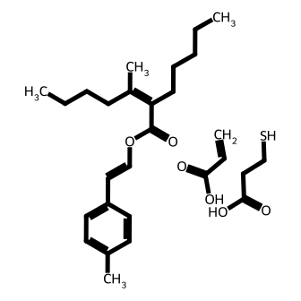 C=CC(=O)O.CCCCCC(C(=O)OC=Cc1ccc(C)cc1)=C(C)CCCC.O=C(O)CCS